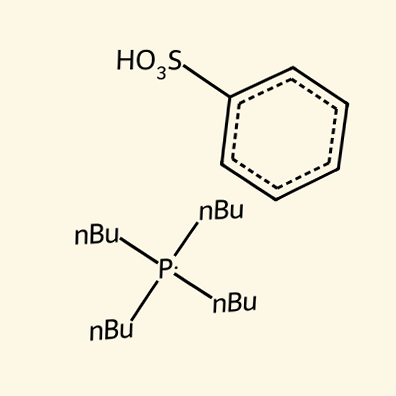 CCCC[P](CCCC)(CCCC)CCCC.O=S(=O)(O)c1ccccc1